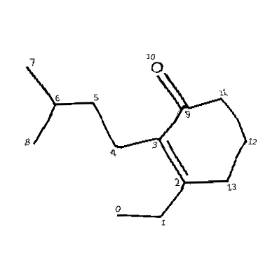 CCC1=C(CCC(C)C)C(=O)CCC1